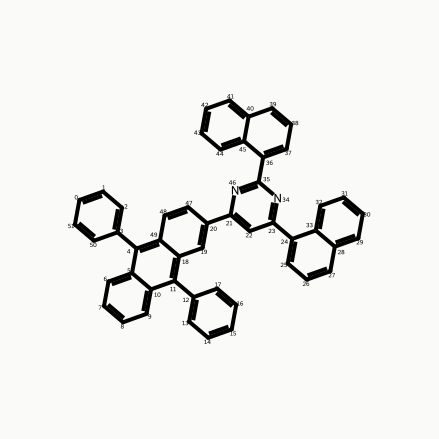 c1ccc(-c2c3ccccc3c(-c3ccccc3)c3cc(-c4cc(-c5cccc6ccccc56)nc(-c5cccc6ccccc56)n4)ccc23)cc1